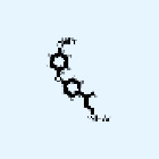 CC(=O)NC/C=C(\C)c1ccc(Oc2ccc(OC(C)C)cc2)cc1